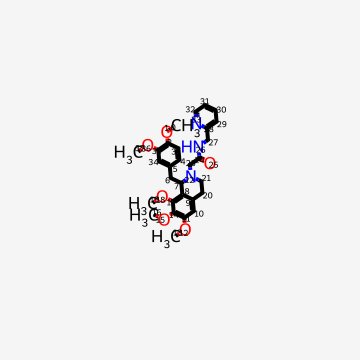 COc1ccc(CC2c3c(cc(OC)c(OC)c3OC)CCN2CC(=O)NCc2ccccn2)cc1OC